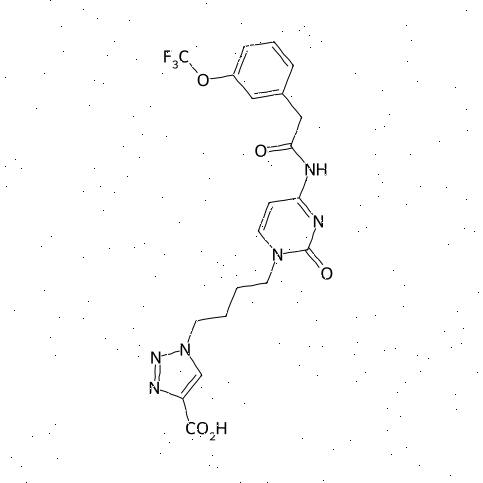 O=C(Cc1cccc(OC(F)(F)F)c1)Nc1ccn(CCCCn2cc(C(=O)O)nn2)c(=O)n1